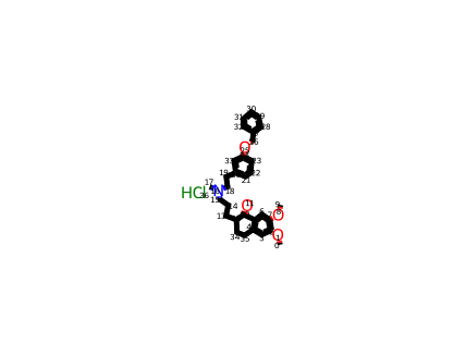 COc1cc2c(cc1OC)C(=O)C(CCCN(C)CCc1cccc(OCc3ccccc3)c1)CC2.Cl